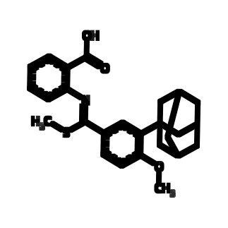 COc1ccc(C(=Nc2ccccc2C(=O)O)SC)cc1C12CC3CC(CC(C3)C1)C2